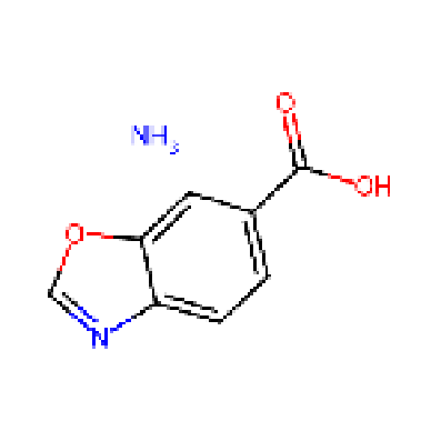 N.O=C(O)c1ccc2ncoc2c1